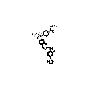 CC(C)(C)OC(=O)N1CCC(N(c2ccc3cnc(Nc4ccc(-n5cccn5)cc4F)cc3n2)S(C)(=O)=O)CC1